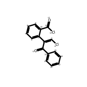 O=C(C(=CCl)c1ccccc1C(=O)Cl)c1ccccc1